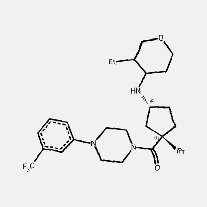 CCC1COCCC1N[C@@H]1CC[C@@](C(=O)N2CCN(c3cccc(C(F)(F)F)c3)CC2)(C(C)C)C1